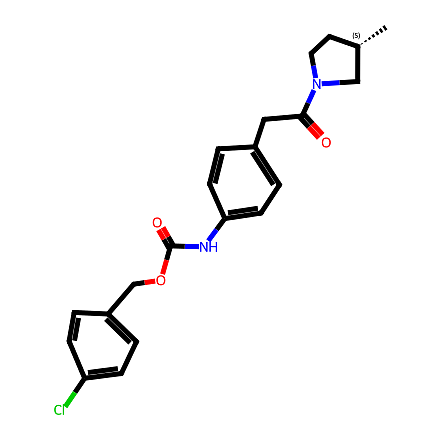 C[C@H]1CCN(C(=O)Cc2ccc(NC(=O)OCc3ccc(Cl)cc3)cc2)C1